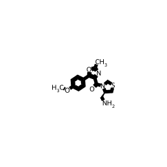 COc1ccc(-c2oc(C)nc2C(=O)N2CSC[C@H]2CN)cc1